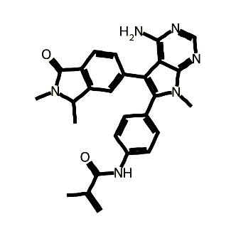 C=C(C)C(=O)Nc1ccc(-c2c(-c3ccc4c(c3)C(C)N(C)C4=O)c3c(N)ncnc3n2C)cc1